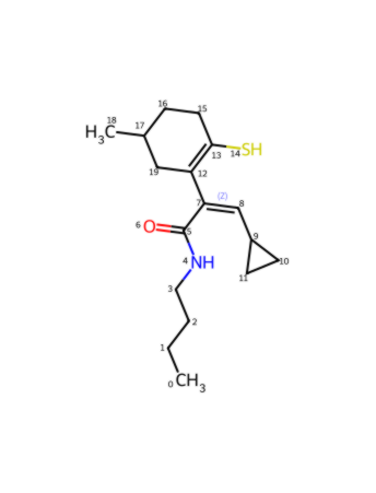 CCCCNC(=O)/C(=C\C1CC1)C1=C(S)CCC(C)C1